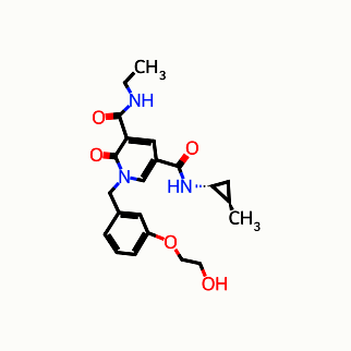 CCNC(=O)c1cc(C(=O)N[C@@H]2C[C@H]2C)cn(Cc2cccc(OCCO)c2)c1=O